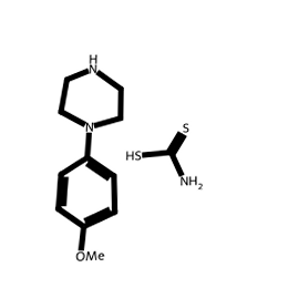 COc1ccc(N2CCNCC2)cc1.NC(=S)S